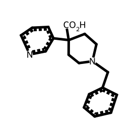 O=C(O)C1(c2cccnc2)CCN(Cc2ccccc2)CC1